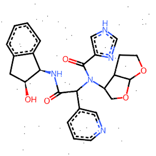 O=C(N[C@@H]1c2ccccc2C[C@@H]1O)C(c1cccnc1)N(C(=O)c1c[nH]cn1)C1COC2OCCC21